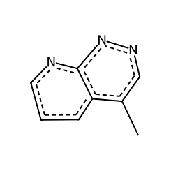 Cc1cnnc2ncccc12